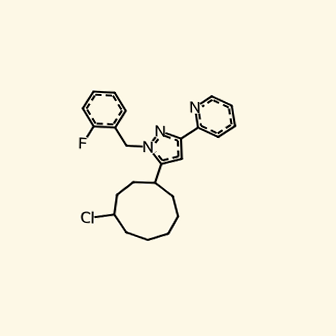 Fc1ccccc1Cn1nc(-c2ccccn2)cc1C1CCCCCC(Cl)CC1